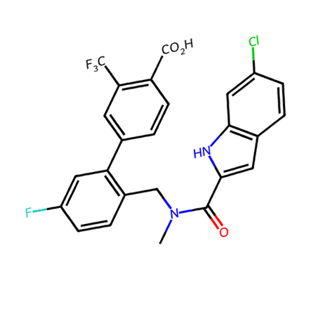 CN(Cc1ccc(F)cc1-c1ccc(C(=O)O)c(C(F)(F)F)c1)C(=O)c1cc2ccc(Cl)cc2[nH]1